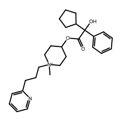 C[N+]1(CCCc2ccccn2)CCC(OC(=O)C(O)(c2ccccc2)C2CCCC2)CC1